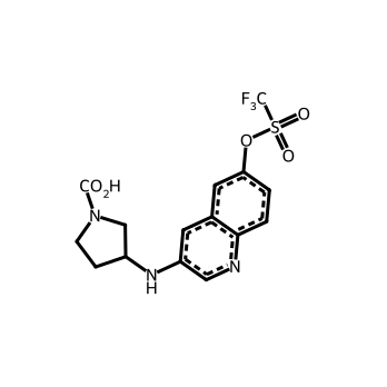 O=C(O)N1CCC(Nc2cnc3ccc(OS(=O)(=O)C(F)(F)F)cc3c2)C1